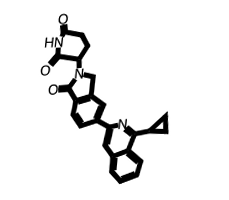 O=C1CCC(N2Cc3cc(-c4cc5ccccc5c(C5CC5)n4)ccc3C2=O)C(=O)N1